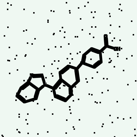 O=C(O)c1ccc(-c2ccc3c(-n4cnc5ccccc54)cccc3c2)cc1